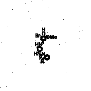 COc1cc(CN[C@H]2CC[C@@H](Nc3nc(N(C)C)c4ccccc4n3)CC2)cc(Br)c1O